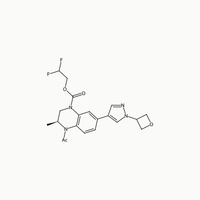 CC(=O)N1c2ccc(-c3cnn(C4COC4)c3)cc2N(C(=O)OCC(F)F)C[C@@H]1C